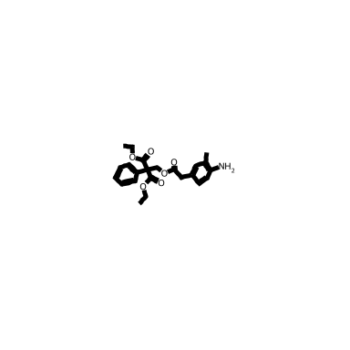 CCOC(=O)C(COC(=O)Cc1ccc(N)c(C)c1)(C(=O)OCC)c1ccccc1